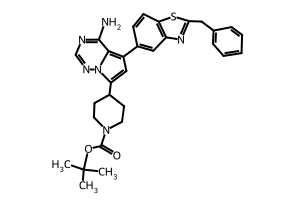 CC(C)(C)OC(=O)N1CCC(c2cc(-c3ccc4sc(Cc5ccccc5)nc4c3)c3c(N)ncnn23)CC1